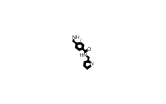 NCc1ccc(C(=O)NCc2ccccn2)cc1